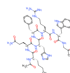 CCCC[C@H](NC(C)=O)C(=O)N[C@@H](CCC(N)=O)C(=O)N[C@@H](Cc1cnc[nH]1)C(=O)N[C@H](Cc1ccccc1)C(=O)N[C@@H](CCCNC(=N)N)C(=O)N[C@H](Cc1c[nH]c2ccccc12)C(=O)NCC(C)=O